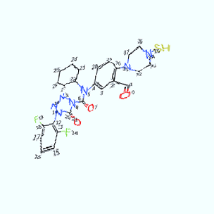 O=Cc1cc(N(C(=O)n2nnn(-c3c(F)cccc3F)c2=O)C2CCCCC2)ccc1N1CCN(S)CC1